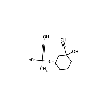 C#CC1(O)CCCCC1.CCCC(C)(C)C#CO